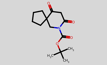 CC(C)(C)OC(=O)N1CC2(CCCC2)C(=O)CC1=O